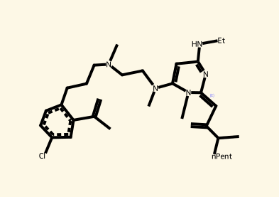 C=C(C)c1cc(Cl)ccc1CCCN(C)CCN(C)C1=CC(NCC)=N/C(=C/C(=C)C(C)CCCCC)N1C